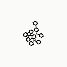 c1ccc(-c2ccc(N(c3ccccc3)c3cc(N(c4ccccc4)c4ccccc4)c4c(c3)C3(c5ccccc5-c5ccccc53)c3ccccc3-4)cc2)cc1